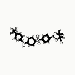 CC1(C)OB(c2ccc(S(=O)(=O)C3CCC(Nc4ccc(C(F)(F)F)cn4)CC3)cc2)OC1(C)C